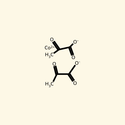 CC(=O)C(=O)[O-].CC(=O)C(=O)[O-].[Co+2]